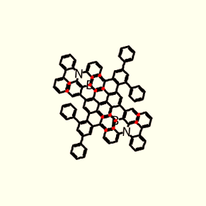 c1ccc(-c2cc(-c3ccccc3)c(-c3cc4c5c(cc6c(-c7c(-c8ccccc8)cc(-c8ccccc8)cc7-c7ccccc7)cc7c8c(cc3c5c68)B3c5ccccc5N(c5ccccc5-c5ccccc5)c5cccc-7c53)B3c5ccccc5N(c5ccccc5-c5ccccc5)c5cccc-4c53)c(-c3ccccc3)c2)cc1